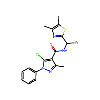 Cc1nc(C(NC(=O)c2c(C)nn(-c3ccccc3)c2Cl)C(C)C)sc1C